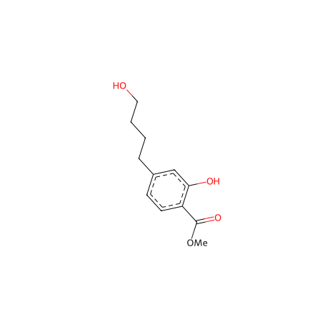 COC(=O)c1ccc(CCCCO)cc1O